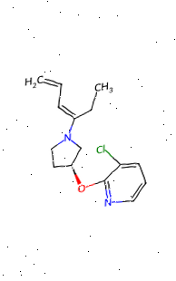 C=C/C=C(\CC)N1CC[C@H](Oc2ncccc2Cl)C1